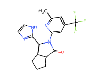 Cc1cc(C(F)(F)F)cc(N2C(=O)C3CCCC3C2c2ncc[nH]2)n1